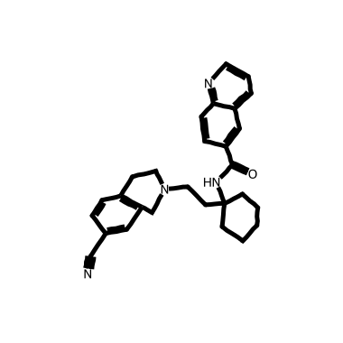 N#Cc1ccc2c(c1)CN(CCC1(NC(=O)c3ccc4ncccc4c3)CCCCC1)CC2